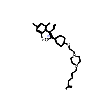 C=C/C(=C(/O)C1CCC(OCCN2CCN(CCCCC(=C)C)CC2)CC1)c1c(C)cc(C)cc1C